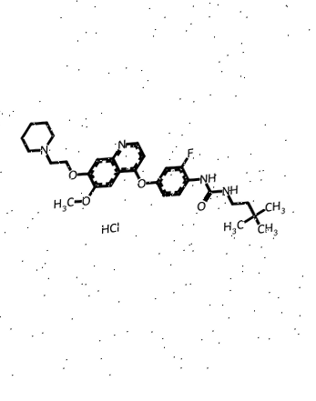 COc1cc2c(Oc3ccc(NC(=O)NCCC(C)(C)C)c(F)c3)ccnc2cc1OCCN1CCCCC1.Cl